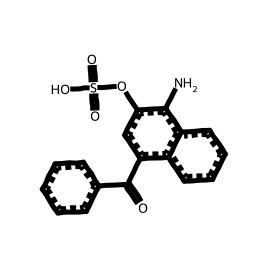 Nc1c(OS(=O)(=O)O)cc(C(=O)c2ccccc2)c2ccccc12